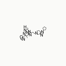 Cc1c(-c2ncco2)nc(N)n2nc(CCN3CCc4c(ncn4C4CCCC4)C3)nc12